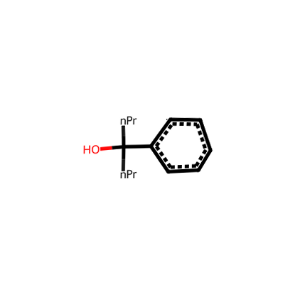 CCCC(O)(CCC)c1[c]cccc1